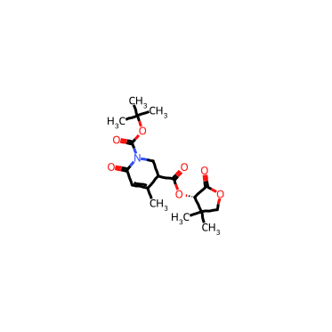 CC1=CC(=O)N(C(=O)OC(C)(C)C)CC1C(=O)O[C@@H]1C(=O)OCC1(C)C